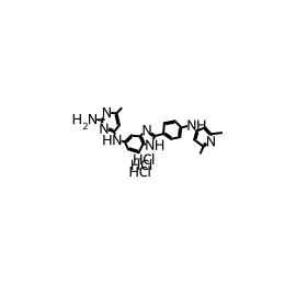 Cc1cc(Nc2ccc(-c3nc4cc(Nc5cc(C)nc(N)n5)ccc4[nH]3)cc2)cc(C)n1.Cl.Cl.Cl